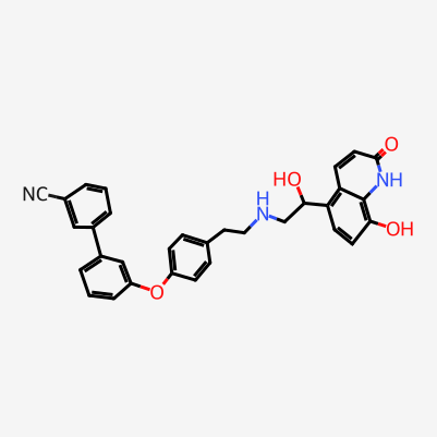 N#Cc1cccc(-c2cccc(Oc3ccc(CCNCC(O)c4ccc(O)c5[nH]c(=O)ccc45)cc3)c2)c1